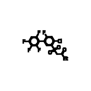 CCC(=O)CS(=O)(=O)c1cc(-c2c(F)cc(F)c(F)c2F)c(F)cc1Cl